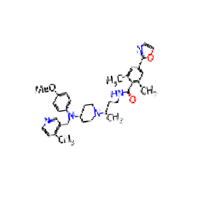 COc1ccc(N(Cc2cnccc2C)C2CCN([C@H](C)CCNC(=O)c3c(C)cc(-c4ncco4)cc3C)CC2)cc1